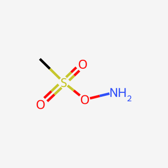 CS(=O)(=O)ON